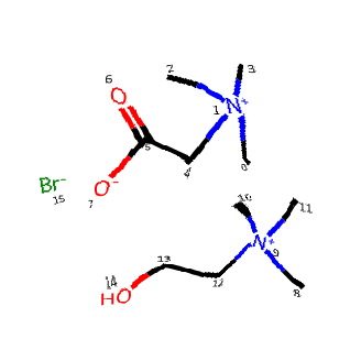 C[N+](C)(C)CC(=O)[O-].C[N+](C)(C)CCO.[Br-]